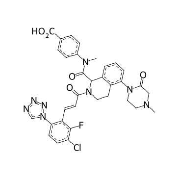 CN1CCN(c2cccc3c2CCN(C(=O)/C=C/c2c(-n4cnnn4)ccc(Cl)c2F)C3C(=O)N(C)c2ccc(C(=O)O)cc2)C(=O)C1